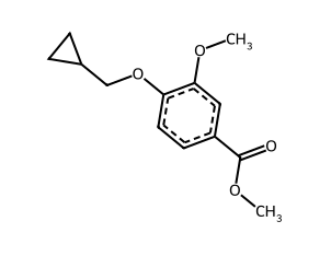 COC(=O)c1ccc(OCC2CC2)c(OC)c1